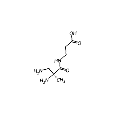 C[C@](N)(CN)C(=O)NCCC(=O)O